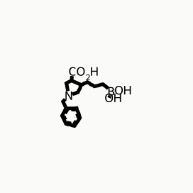 O=C(O)C1CN(Cc2ccccc2)CC1CCCB(O)O